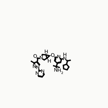 Cc1nn(-c2ncccn2)cc1C(=O)N1C[C@@H]2[C@H](C1)[C@H]2Oc1cc(C(C)(C)N)cc(NC(C)C2CCCC2)n1